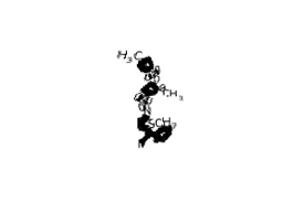 COc1cc(S(=O)(=O)O/N=C2C=C/C(=C(\C#N)c3ccccc3C)S\2)ccc1OS(=O)(=O)c1ccc(C)cc1